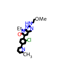 CCn1c(=O)c(-c2ccc(-c3cccc(C)n3)cc2Cl)cc2cnc(NCCOC)nc21